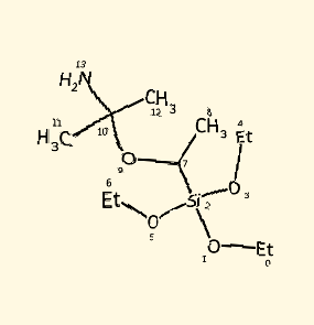 CCO[Si](OCC)(OCC)C(C)OC(C)(C)N